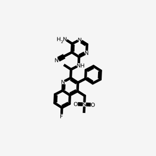 CC(Nc1ncnc(N)c1C#N)c1nc2ccc(F)cc2c(CS(C)(=O)=O)c1-c1ccccc1